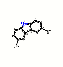 CC(C)c1ccc2[nH]c3ccc(C(C)C)cc3c2c1